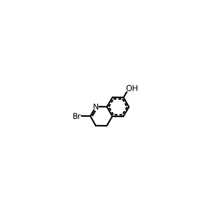 Oc1ccc2c(c1)N=C(Br)CC2